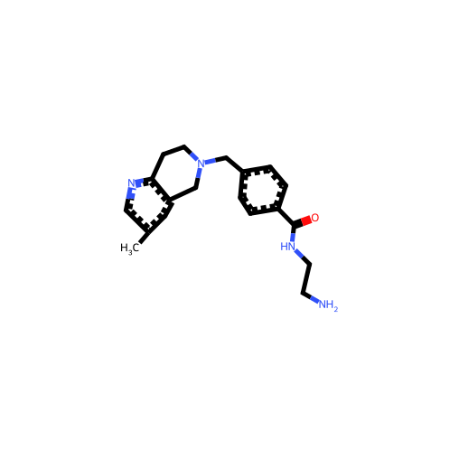 Cc1cnc2c(c1)CN(Cc1ccc(C(=O)NCCN)cc1)CC2